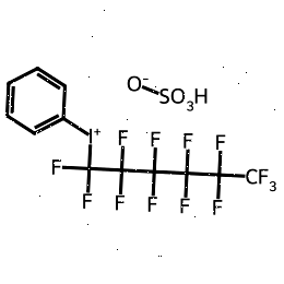 FC(F)(F)C(F)(F)C(F)(F)C(F)(F)C(F)(F)C(F)(F)[I+]c1ccccc1.O=S(=O)([O-])O